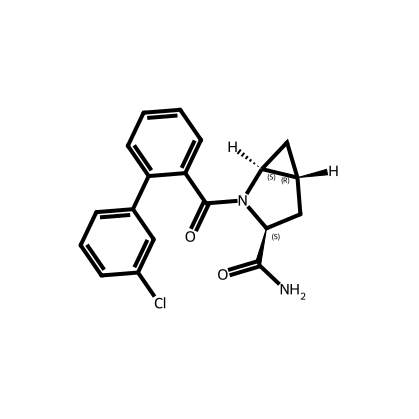 NC(=O)[C@@H]1C[C@H]2C[C@@H]2N1C(=O)c1ccccc1-c1cccc(Cl)c1